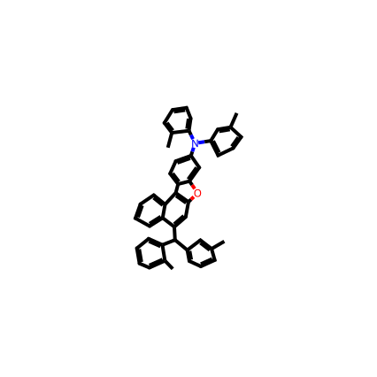 Cc1cccc(C(c2ccccc2C)c2cc3oc4cc(N(c5cccc(C)c5)c5ccccc5C)ccc4c3c3ccccc23)c1